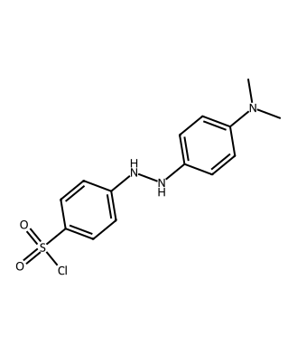 CN(C)c1ccc(NNc2ccc(S(=O)(=O)Cl)cc2)cc1